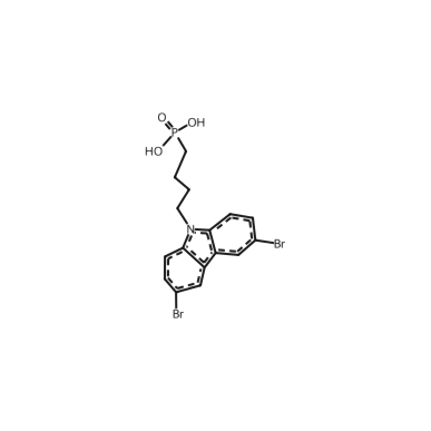 O=P(O)(O)CCCCn1c2ccc(Br)cc2c2cc(Br)ccc21